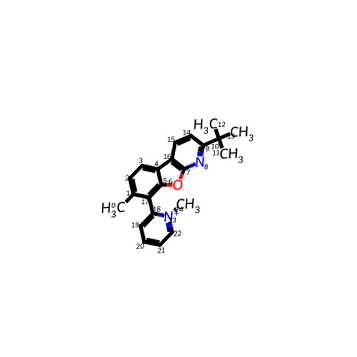 Cc1ccc2c(oc3nc(C(C)(C)C)ccc32)c1-c1cccc[n+]1C